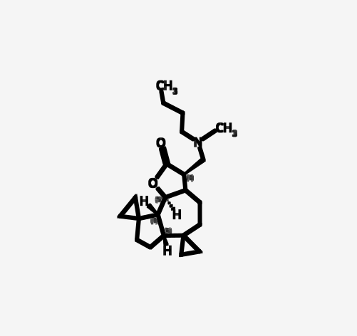 CCCCN(C)C[C@@H]1C(=O)O[C@H]2C1CCC1(CC1)[C@@H]1CCC3(CC3)[C@@H]12